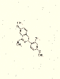 C=CC1=NC(c2ccc(OC)cc2C)Cc2ccc(OC)cc21